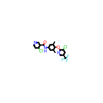 Cc1cc(NC(=O)c2cnccc2Cl)cc(C)c1Oc1ncc(C(F)(F)F)cc1Cl